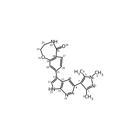 Cc1nn(C)c(C)c1-c1cnc2[nH]cc(-c3ccc4c(c3)OCCNC4=O)c2c1